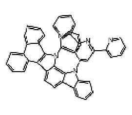 c1ccc(-n2c3c4ccccc4c4ccccc4c3c3ccc4c5ccccc5n(-c5cc(-c6ccccn6)nc(-c6ccccn6)c5)c4c32)cc1